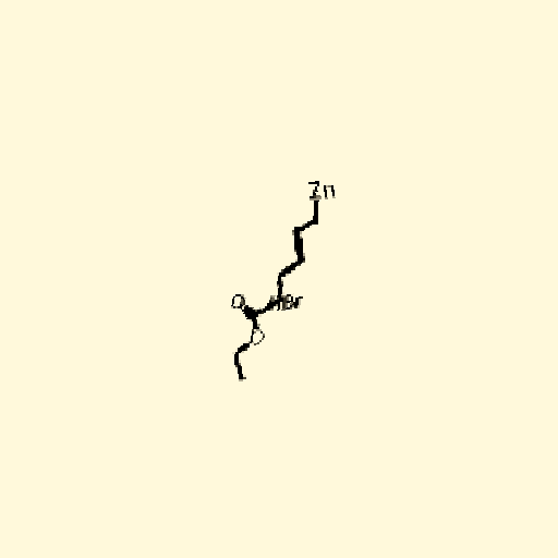 Br.CCOC(=O)CCCC[CH2][Zn]